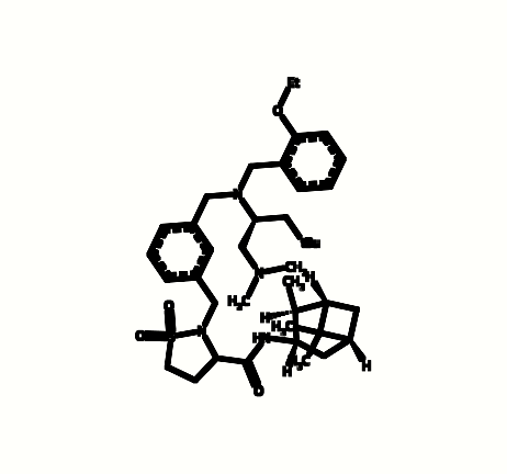 CCOc1ccccc1CN(Cc1cccc(CN2C(C(=O)N[C@H]3C[C@H]4C[C@@H]([C@@H]3C)C4(C)C)CCS2(=O)=O)c1)[C@H](CN(C)C)CC(C)(C)C